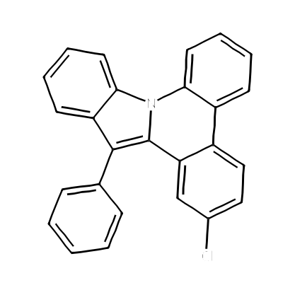 Clc1ccc2c3ccccc3n3c4ccccc4c(-c4ccccc4)c3c2c1